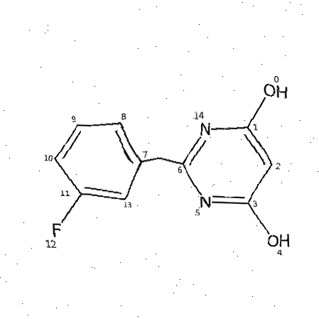 Oc1cc(O)nc(-c2cccc(F)c2)n1